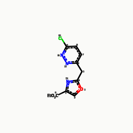 CCOC(=O)c1coc(Cc2ccc(Cl)nn2)n1